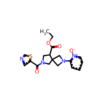 CCOC(=O)C1CN(C(=O)c2cncs2)CC12CN(c1cccc[n+]1[O-])C2